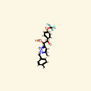 Cc1ccc(Cn2nc(C(O)C(=O)c3ccc(OC(F)(F)F)cc3)cc2C)cc1